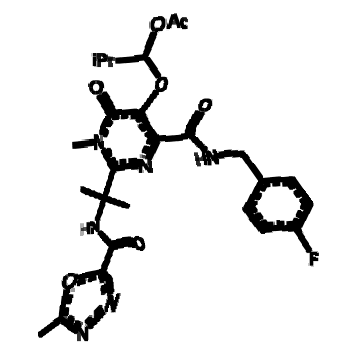 CC(=O)OC(Oc1c(C(=O)NCc2ccc(F)cc2)nc(C(C)(C)NC(=O)c2nnc(C)o2)n(C)c1=O)C(C)C